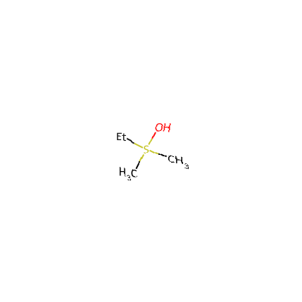 CCS(C)(C)O